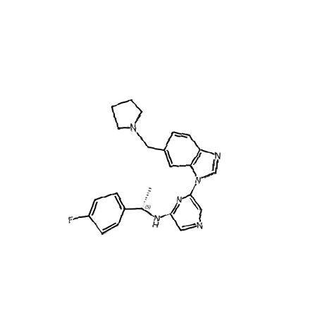 C[C@H](Nc1cncc(-n2cnc3ccc(CN4CCCC4)cc32)n1)c1ccc(F)cc1